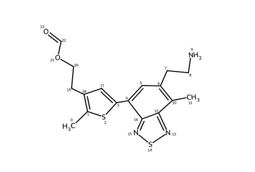 Cc1sc(-c2cc(CCN)c(C)c3nsnc23)cc1CCOC=O